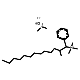 CCCCCCCCCCCC(C)C(c1ccccc1)[N+](C)(C)C.CNC.Cl.[Cl-]